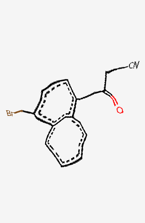 N#CCC(=O)c1ccc(Br)c2ccccc12